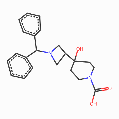 O=C(O)N1CCC(O)(C2CN(C(c3ccccc3)c3ccccc3)C2)CC1